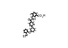 CCOc1ccccc1O[C@@H]1CCCN(c2ncc(C(=O)NCc3cc(C(=O)O)ccc3C)cn2)C1